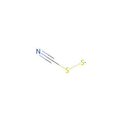 N#CS[S]